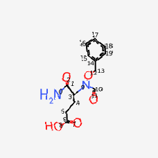 NC(=O)[C@H](CCC(=O)O)N(C=O)OCc1ccccc1